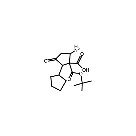 CC(C)(C)OC(=O)C1(C(=O)O)C(N)CC(=O)C1C1CCCC1